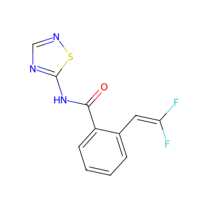 O=C(Nc1ncns1)c1ccccc1C=C(F)F